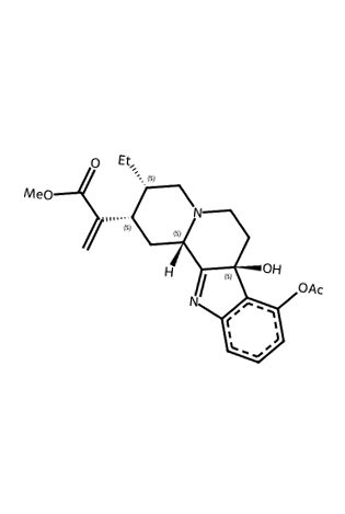 C=C(C(=O)OC)[C@H]1C[C@H]2C3=Nc4cccc(OC(C)=O)c4[C@@]3(O)CCN2C[C@H]1CC